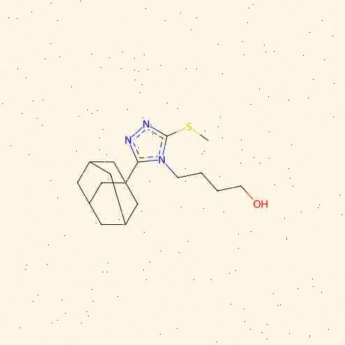 CSc1nnc(C23CC4CC(CC(C4)C2)C3)n1CCCCO